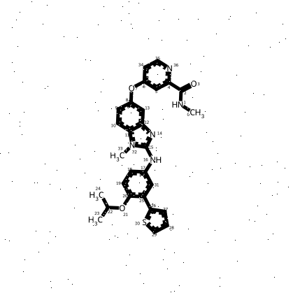 CNC(=O)c1cc(Oc2ccc3c(c2)nc(Nc2ccc(OC(C)C)c(-c4cccs4)c2)n3C)ccn1